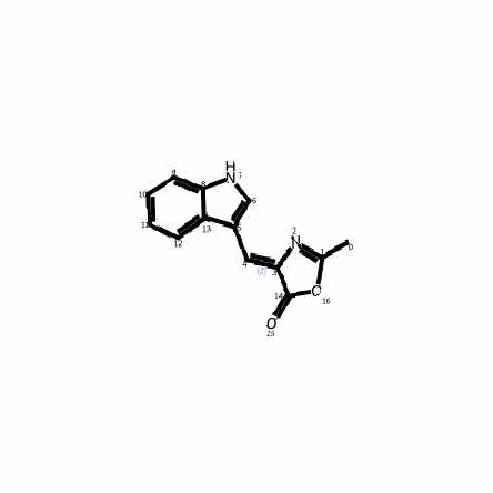 CC1=N/C(=C\c2c[nH]c3ccccc23)C(=O)O1